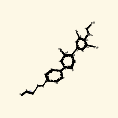 C/C=C/CCc1ccc(-c2ccc(-c3cc(F)c(OCF)c(F)c3)c(F)c2)cc1